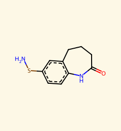 NSc1ccc2c(c1)CCCC(=O)N2